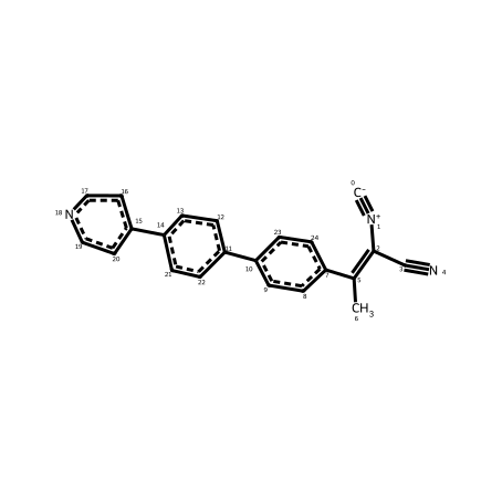 [C-]#[N+]C(C#N)=C(C)c1ccc(-c2ccc(-c3ccncc3)cc2)cc1